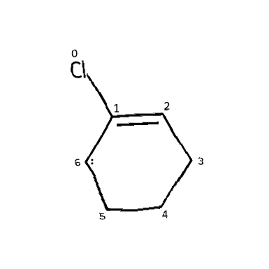 ClC1=CCCC[C]1